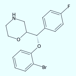 Fc1ccc([C@H](Oc2ccccc2Br)C2CNCCO2)cc1